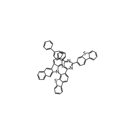 c1ccc(-c2ccc(-c3nc(-c4ccc5c(c4)sc4ccccc45)nc(-c4ccc5c(sc6ccccc65)c4-n4c5cc6ccccc6cc5c5cc6ccccc6cc54)n3)cc2)cc1